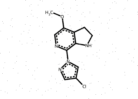 COc1cnc(-n2cc(Cl)cn2)c2c1CCN2